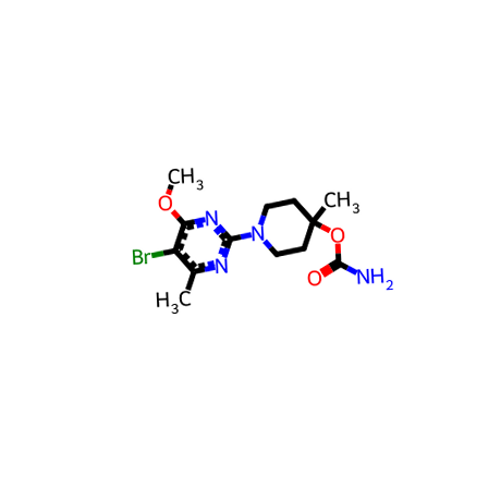 COc1nc(N2CCC(C)(OC(N)=O)CC2)nc(C)c1Br